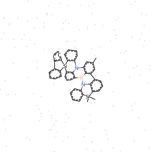 Cc1cc2c3c(c1)N1c4ccccc4[Si]4(c5ccccc5-c5ccccc54)c4cccc(c41)B3N1c3ccccc3[Si](C)(C)c3cccc-2c31